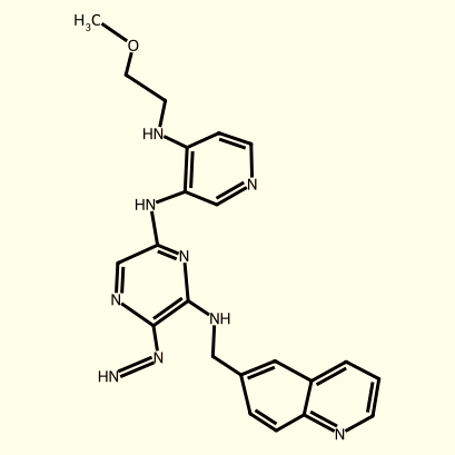 COCCNc1ccncc1Nc1cnc(N=N)c(NCc2ccc3ncccc3c2)n1